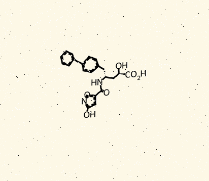 O=C(N[C@H](Cc1ccc(-c2ccccc2)cc1)C[C@@H](O)C(=O)O)c1cc(O)no1